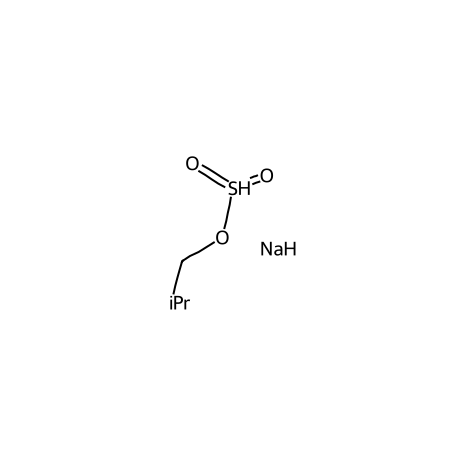 CC(C)CO[SH](=O)=O.[NaH]